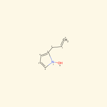 C=CCc1cccn1O